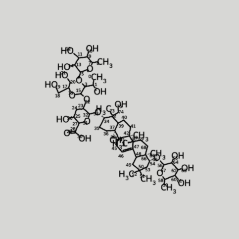 CC(O)C(OC1OC(C)C(O)C(O)C1O)C(OC(CO)CO)OC1CC(O)C(C(=O)O)OC1O[C@H]1CC[C@@]2(C)C(CC[C@]3(C)C2CC=C2C4CC(C)(C)C[C@@H](OC5OC(C)C(O)C(O)C5O)[C@]4(C)CC[C@]23C)[C@@]1(C)CO